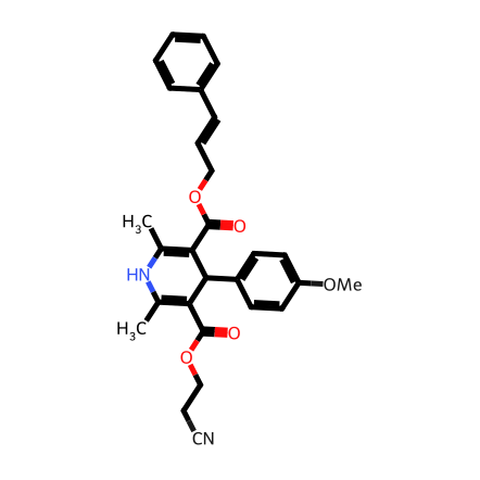 COc1ccc(C2C(C(=O)OC/C=C/c3ccccc3)=C(C)NC(C)=C2C(=O)OCCC#N)cc1